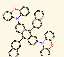 c1ccc2c(c1)Oc1ccccc1N2c1ccc2c(-c3ccc4ccccc4c3)c3ccc(N4c5ccccc5Oc5ccccc54)cc3c(-c3ccc4ccccc4c3)c2c1